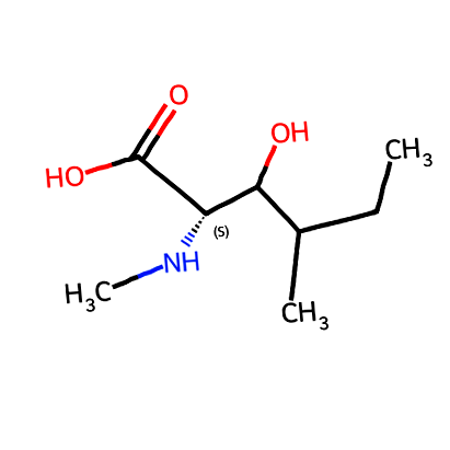 CCC(C)C(O)[C@H](NC)C(=O)O